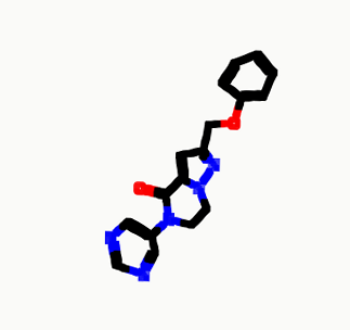 O=C1c2cc(COc3ccccc3)nn2CCN1c1cncnc1